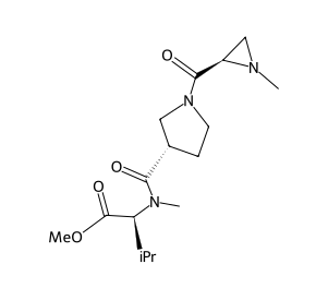 COC(=O)[C@H](C(C)C)N(C)C(=O)[C@H]1CCN(C(=O)[C@H]2CN2C)C1